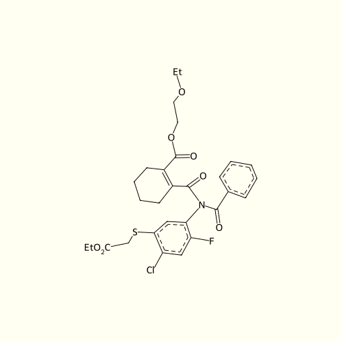 CCOCCOC(=O)C1=C(C(=O)N(C(=O)c2ccccc2)c2cc(SCC(=O)OCC)c(Cl)cc2F)CCCC1